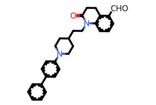 O=Cc1cccc2c1CCC(=O)N2CCC1CCN(c2ccc(-c3ccccc3)cc2)CC1